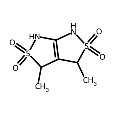 CC1C2=C(NS1(=O)=O)NS(=O)(=O)C2C